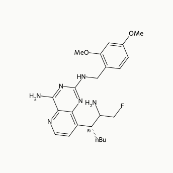 CCCC[C@H](c1ccnc2c(N)nc(NCc3ccc(OC)cc3OC)nc12)C(N)CF